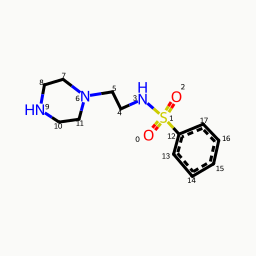 O=S(=O)(NCCN1CCNCC1)c1ccccc1